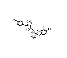 Cc1ccc(CC(C)(C)NC[C@@H](O)CN(C)Cc2ccc(Br)cc2)cc1F